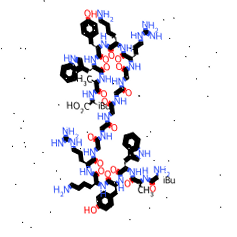 CC[C@H](C)[C@H](N)C(=O)N[C@@H](C)C(=O)N[C@@H](Cc1c[nH]c2ccccc12)C(=O)N[C@@H](Cc1ccc(O)cc1)C(=O)N[C@@H](CCCCN)C(=O)N[C@@H](CCCNC(=N)N)C(=O)NCC(=O)NCC(=O)NCC(=O)NCC(=O)NCC(=O)N[C@@H](CCCNC(=N)N)C(=O)N[C@@H](CCCCN)C(=O)N[C@@H](Cc1ccc(O)cc1)C(=O)N[C@@H](Cc1c[nH]c2ccccc12)C(=O)N[C@@H](C)C(=O)N[C@H](C(=O)O)[C@@H](C)CC